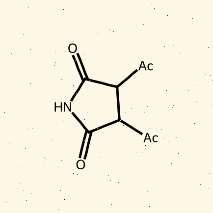 CC(=O)C1C(=O)NC(=O)C1C(C)=O